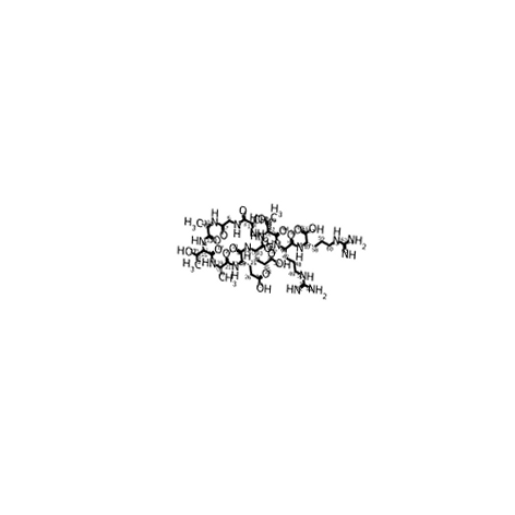 C[C@H](N)C(=O)NCC(=O)N[C@@H](C)C(=O)N[C@H](C(=O)N[C@@H](C)C(=O)N[C@@H](CCC(=O)O)C(=O)N[C@@H](CCC(=O)O)C(=O)N[C@H](C(=O)N[C@@H](CCCNC(=N)N)C(=O)N[C@@H](CCCNC(=N)N)C(=O)O)[C@@H](C)O)[C@@H](C)O